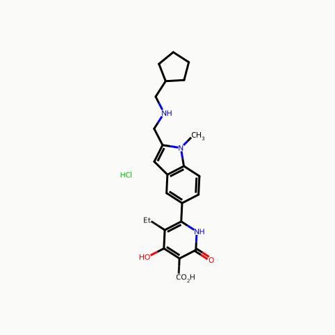 CCc1c(-c2ccc3c(c2)cc(CNCC2CCCC2)n3C)[nH]c(=O)c(C(=O)O)c1O.Cl